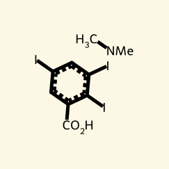 CNC.O=C(O)c1cc(I)cc(I)c1I